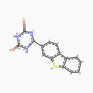 O=c1nc(-c2ccc3c(c2)sc2ccccc23)[nH]c(=O)[nH]1